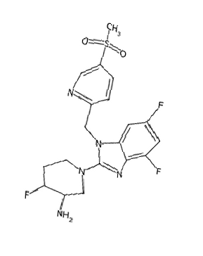 CS(=O)(=O)c1ccc(Cn2c(N3CCC(F)C(N)C3)nc3c(F)cc(F)cc32)nc1